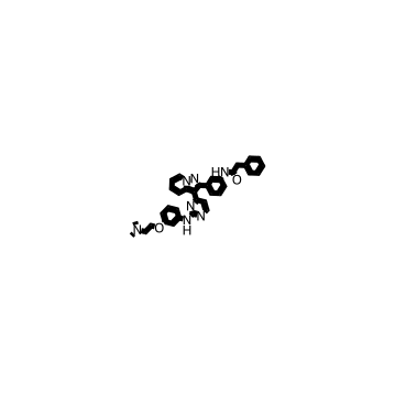 CN(C)CCOc1cccc(Nc2nccc(-c3c(-c4cccc(NC(=O)Cc5ccccc5)c4)nn4ccccc34)n2)c1